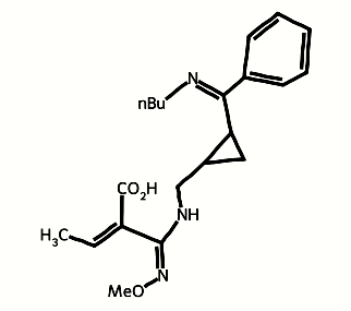 C/C=C(C(=O)O)/C(=N\OC)NCC1CC1/C(=N\CCCC)c1ccccc1